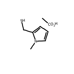 CC(=O)O.Cn1cccc1CS